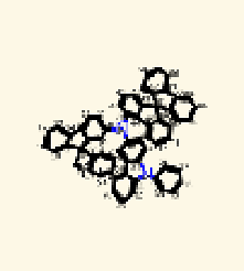 C=CC1(c2ccccc2)c2ccccc2-c2ccc(N(c3ccc4c(c3)c3ccccc3n4-c3ccccc3)c3cccc4c3-c3ccccc3C43c4ccccc4-c4ccccc43)cc21